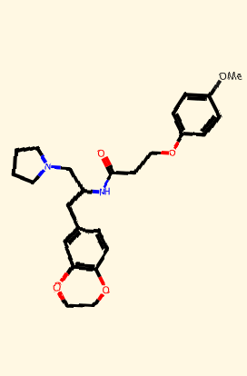 COc1ccc(OCCC(=O)NC(Cc2ccc3c(c2)OCCO3)CN2CCCC2)cc1